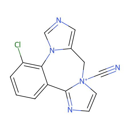 N#C[N+]12C=CN=C1c1cccc(Cl)c1-n1cncc1C2